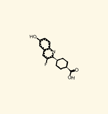 O=C(O)[C@H]1CC[C@@H](c2nc3ccc(O)cc3cc2F)CC1